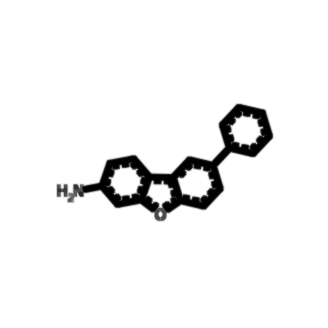 Nc1ccc2c(c1)oc1ccc(-c3ccccc3)cc12